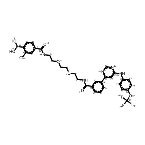 O=C(NCCOCCOCCNC(=O)c1ccc(B(O)O)c(Cl)c1)c1cccc(-c2cc(Nc3ccc(OC(F)(F)F)cc3)ncn2)c1